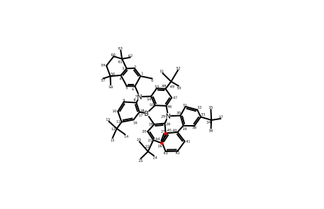 Cc1cc2c(cc1N1c3ccc(C(C)(C)C)cc3B3c4cc(C(C)(C)C)ccc4N(c4ccc(C(C)(C)C)cc4-c4ccccc4)c4cc(C(C)(C)C)cc1c43)C(C)(C)CCC2(C)C